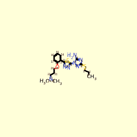 CCCSc1nc(N)n(-c2nnc(-c3ccccc3OCCCN(C)C)s2)n1